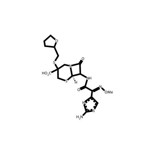 CON=C(C(=O)NC1C(=O)N2CC(SCC3CCCO3)(C(=O)O)CS[C@H]12)c1csc(N)n1